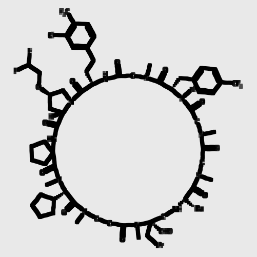 CCCN1C(=O)CN(C)C(=O)CN(C)C(=O)[C@H]([C@@H](C)CC)NC[C@@](C=O)(CC(C)C)N(C)C(=O)CCN(C)C(=O)[C@H](C2CCCC2)N(C)C(=O)C2(CCCC2)NC(=O)[C@@H]2C[C@@H](OCC(F)F)CN2C(=O)[C@H](CCc2ccc(C(F)(F)F)c(Cl)c2)NC(=O)CN(C)C(=O)[C@@H]1Cc1ccc(C(F)(F)F)cc1